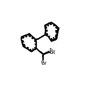 BrC(Br)c1ccccc1-c1ccccc1